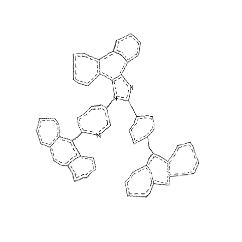 c1ccc2c(-c3ccc(-c4nc5c6ccccc6c6ccccc6c5n4-c4ccc(-c5c6ccccc6cc6ccccc56)nc4)cc3)c3ccccc3cc2c1